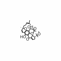 COC(C)(C)[C@H]1CC=C2C(=O)c3c(O)c4c(c(C(O)C5OC5(C)C)c3OC21)O[C@](C)(CCC=C(C)C)C=C4